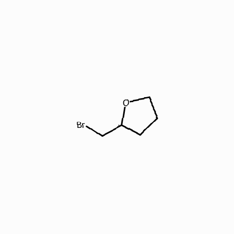 BrC[C]1CCCO1